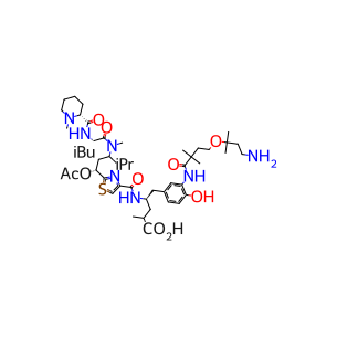 CC[C@H](C)[C@H](NC(=O)[C@H]1CCCCN1C)C(=O)N(C)C(C[C@@H](OC(C)=O)c1nc(C(=O)N[C@@H](Cc2ccc(O)c(NC(=O)C(C)(C)CCOC(C)(C)CCN)c2)CC(C)C(=O)O)cs1)C(C)C